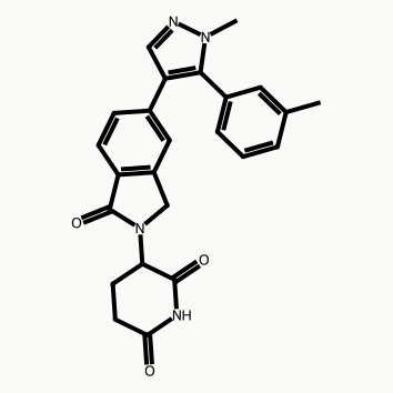 Cc1cccc(-c2c(-c3ccc4c(c3)CN(C3CCC(=O)NC3=O)C4=O)cnn2C)c1